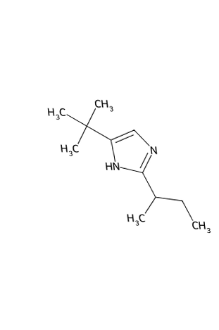 CCC(C)c1ncc(C(C)(C)C)[nH]1